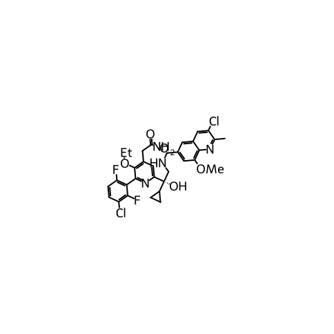 CCOc1c(CC(N)=O)cc([C@@](O)(CNC(=O)c2cc(OC)c3nc(C)c(Cl)cc3c2)C2CC2)nc1-c1c(F)ccc(Cl)c1F